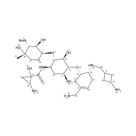 CN[C@@H]1[C@@H](O)[C@@H](O[C@H]2[C@H](NC(=O)C3(O)CC3N)C[C@H](N)C(O[C@H]3OC(CN)=CC[C@H]3NCC3CC(N)C3)[C@@H]2O)OC[C@]1(C)O